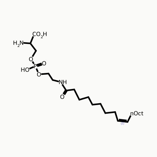 CCCCCCCC/C=C\CCCCCCCC(=O)NCCOP(=O)(O)OCC(N)C(=O)O